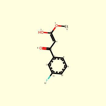 CCO/C(O)=C/C(=O)c1cccc(F)c1